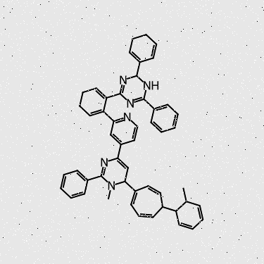 CC1C=CC=CC1C1C=CC=C(C2C=C(c3ccnc(C4=CCCC=C4C4=NC(C5=CCCC=C5)NC(c5ccccc5)=N4)c3)N=C(c3ccccc3)N2C)C=C1